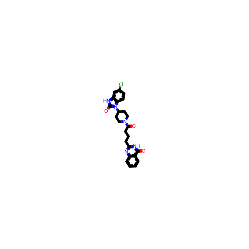 O=C(CCCc1nc2ccccc2c(=O)[nH]1)N1CCC(n2c(=O)[nH]c3cc(Cl)ccc32)CC1